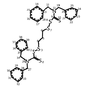 S=C(SSCCCSSC(=S)N(Cc1ccccc1)Cc1ccccc1)N(Cc1ccccc1)Cc1ccccc1